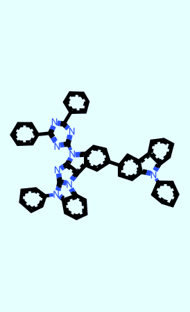 c1ccc(-c2nc(-c3ccccc3)nc(-n3c4ccc(-c5ccc6c(c5)c5ccccc5n6-c5ccccc5)cc4c4c3nc3n(-c5ccccc5)c5ccccc5n43)n2)cc1